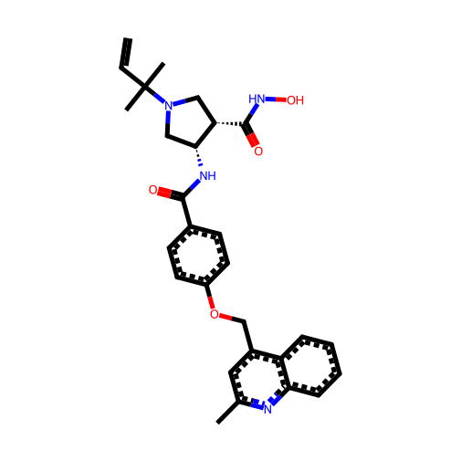 C=CC(C)(C)N1C[C@H](C(=O)NO)[C@H](NC(=O)c2ccc(OCc3cc(C)nc4ccccc34)cc2)C1